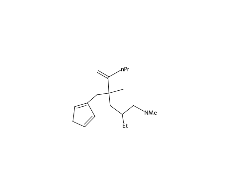 C=C(CCC)C(C)(CC1=CCC=C1)CC(CC)CNC